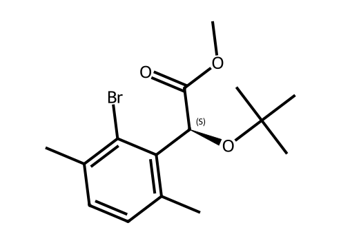 COC(=O)[C@@H](OC(C)(C)C)c1c(C)ccc(C)c1Br